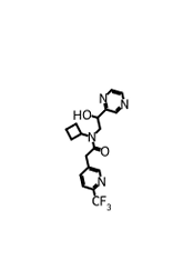 O=C(Cc1ccc(C(F)(F)F)nc1)N(CC(O)c1cnccn1)C1CCC1